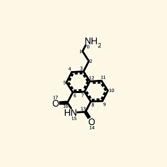 NCCc1ccc2c3c(cccc13)C(=O)NC2=O